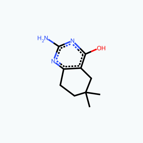 CC1(C)CCc2nc(N)nc(O)c2C1